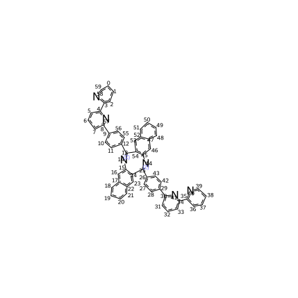 c1ccc(-c2cccc(-c3ccc(/C4=N/c5cc6ccccc6cc5/C(c5ccc(-c6cccc(-c7ccccn7)n6)cc5)=N\c5cc6ccccc6cc54)cc3)n2)nc1